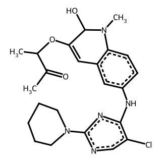 CC(=O)C(C)OC1=Cc2cc(Nc3nc(N4CCCCC4)ncc3Cl)ccc2N(C)C1O